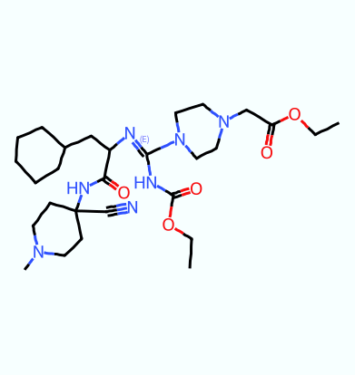 CCOC(=O)CN1CCN(/C(=N/C(CC2CCCCC2)C(=O)NC2(C#N)CCN(C)CC2)NC(=O)OCC)CC1